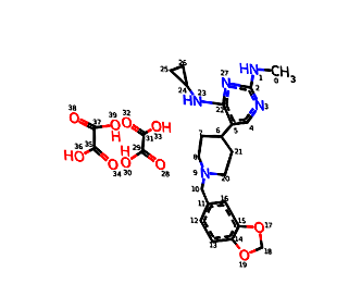 CNc1ncc(C2CCN(Cc3ccc4c(c3)OCO4)CC2)c(NC2CC2)n1.O=C(O)C(=O)O.O=C(O)C(=O)O